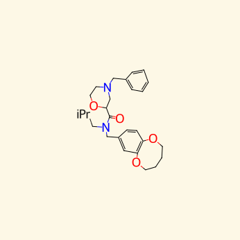 CC(C)CN(Cc1ccc2c(c1)OCCCCO2)C(=O)C1CN(Cc2ccccc2)CCO1